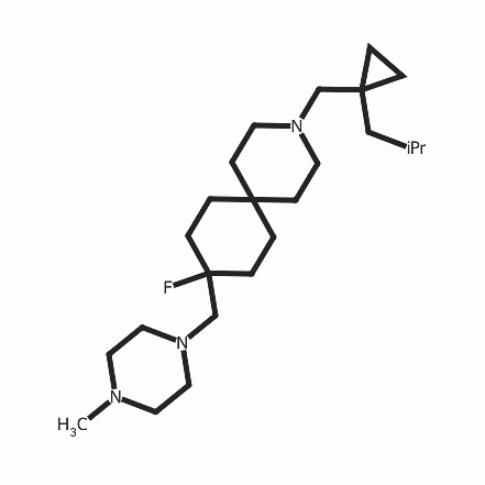 CC(C)CC1(CN2CCC3(CC2)CCC(F)(CN2CCN(C)CC2)CC3)CC1